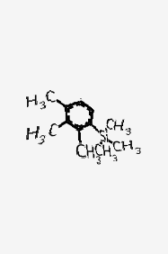 Cc1[c]cc([Si](C)(C)C)c(C)c1C